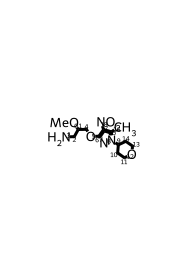 COC(CN)COc1nn(C2CCOCC2)c(C)c1[N+](=O)[O-]